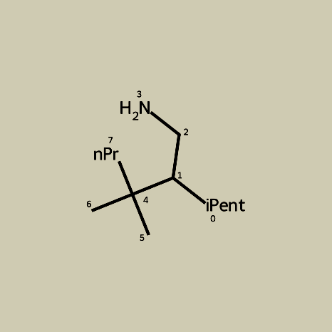 CCCC(C)C(CN)C(C)(C)CCC